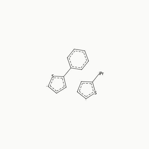 CC(C)c1cc[c]s1.[c]1ccc(-c2ccccc2)s1